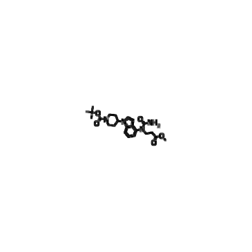 COC(=O)CCN(C(N)=O)c1cccc2c1ccn2C1CCN(C(=O)OC(C)(C)C)CC1